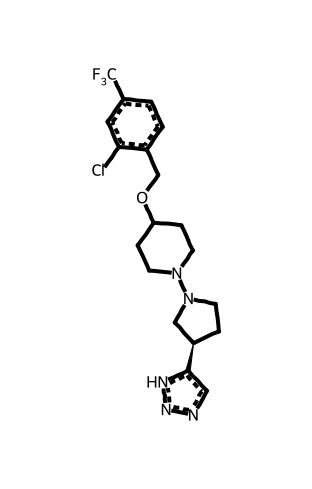 FC(F)(F)c1ccc(COC2CCN(N3CC[C@@H](c4cnn[nH]4)C3)CC2)c(Cl)c1